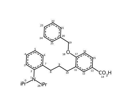 CC(C)N(c1ccccc1CCCc1cc(C(=O)O)ccc1OCc1ccccc1)C(C)C